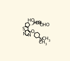 C[C@@H](O)C[C@H]1CCc2sc3ncnc(OC4CCC(N(C)C)CC4)c3c21.O=CO